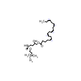 CC/C=C\C/C=C\C/C=C\C/C=C\C/C=C\CCCC(=O)OCC(O)CCP(=O)(O)OCC[N+](C)(C)C